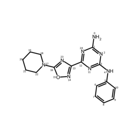 Nc1nc(Nc2ccccc2)nc(-c2noc(N3CCCCC3)n2)n1